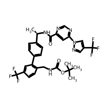 C[C@@H](NC(=O)c1cc(-n2cc(C(F)(F)F)cn2)ncn1)c1ccc(-c2cc(C(F)(F)F)ccc2CNC(=O)OC(C)(C)C)cc1